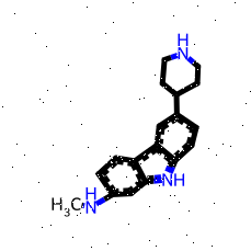 CNc1ccc2c(c1)[nH]c1ccc(C3CCNCC3)cc12